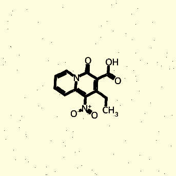 CCc1c(C(=O)O)c(=O)n2ccccc2c1[N+](=O)[O-]